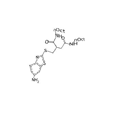 CCCCCCCCNC(=O)CC(CSc1nc2ccc(N)cc2s1)C(=O)NCCCCCCCC